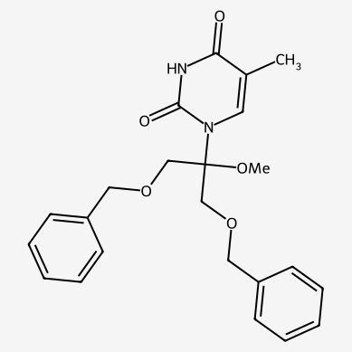 COC(COCc1ccccc1)(COCc1ccccc1)n1cc(C)c(=O)[nH]c1=O